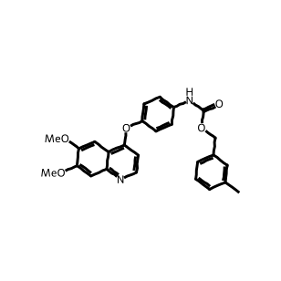 COc1cc2nccc(Oc3ccc(NC(=O)OCc4cccc(C)c4)cc3)c2cc1OC